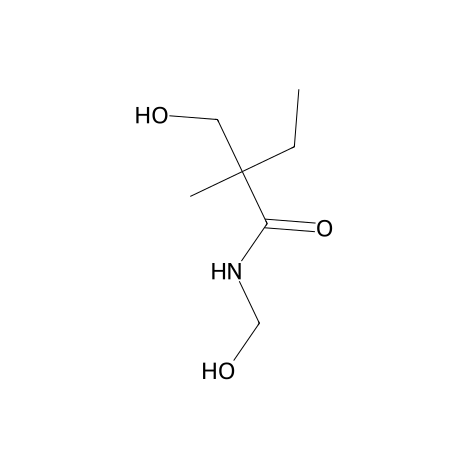 CCC(C)(CO)C(=O)NCO